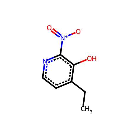 CCc1ccnc([N+](=O)[O-])c1O